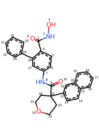 O=C(NO)c1ccc(NC(=O)C2(c3ccc4ccccc4c3)CCOCC2)cc1-c1ccccc1